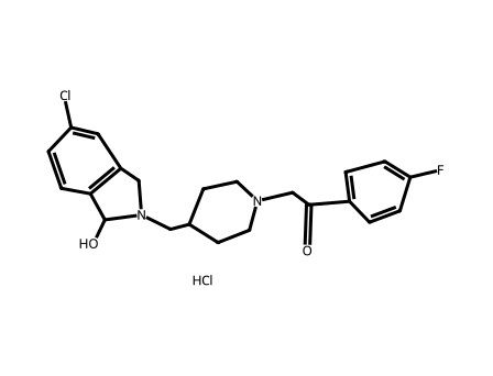 Cl.O=C(CN1CCC(CN2Cc3cc(Cl)ccc3C2O)CC1)c1ccc(F)cc1